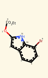 CCOC(=O)Oc1cc2cccc(Br)c2[nH]1